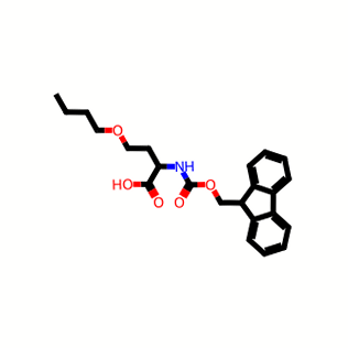 CCCCOCCC(NC(=O)OCC1c2ccccc2-c2ccccc21)C(=O)O